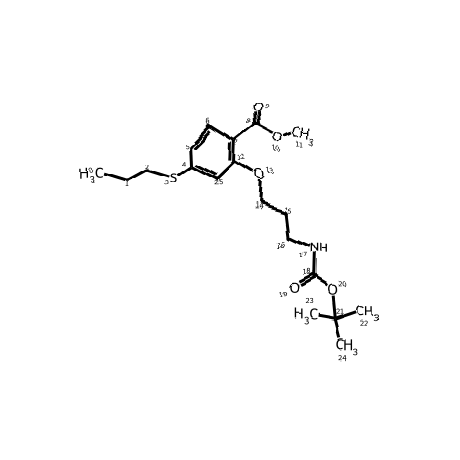 CCCSc1ccc(C(=O)OC)c(OCCCNC(=O)OC(C)(C)C)c1